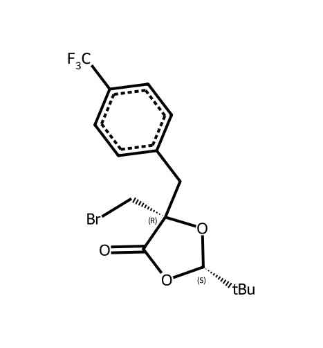 CC(C)(C)[C@@H]1OC(=O)[C@@](CBr)(Cc2ccc(C(F)(F)F)cc2)O1